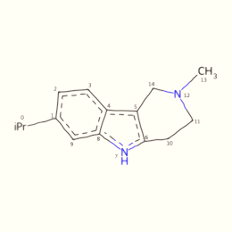 CC(C)c1ccc2c3c([nH]c2c1)CCN(C)C3